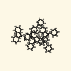 c1ccc(-c2ccc(-c3nc(-c4ccccc4-n4c5ccccc5c5c(-c6cccc7c6c6ccc(-c8ccccc8)cc6n7-c6ccccc6)cccc54)nc(-n4c5ccccc5c5ccccc54)n3)cc2)cc1